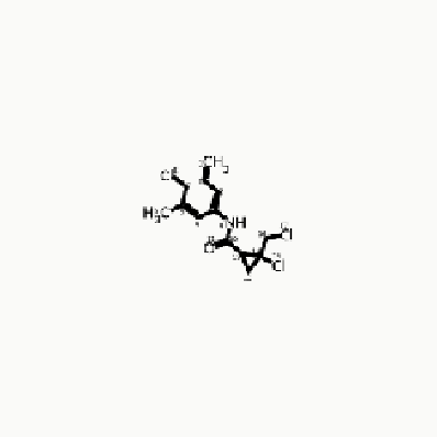 C=C/C=C(\C=C(\C)CCl)NC(=O)C1CC1(Cl)CCl